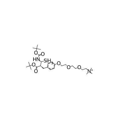 CC(C)(C)OC(=O)NC([SiH3])[C@@H](Cc1ccc(OCCOCCOCC[N+](C)(C)C)cc1)C(=O)OC(C)(C)C